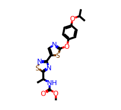 COC(=O)NC(C)c1nc(-c2cnc(Oc3ccc(OC(C)C)cc3)s2)ns1